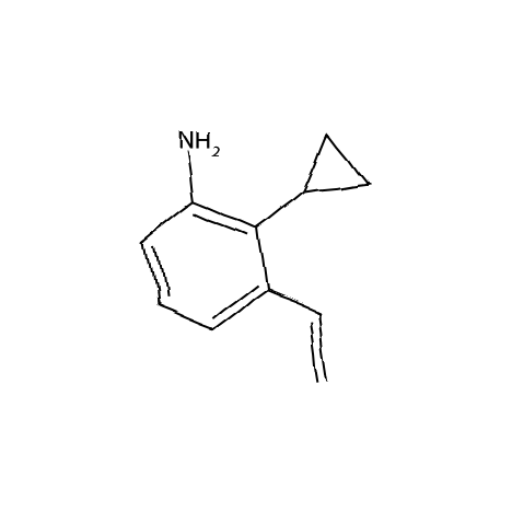 C=Cc1cccc(N)c1C1CC1